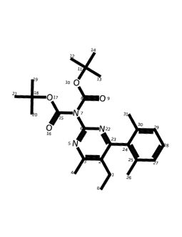 CCc1c(C)nc(N(C(=O)OC(C)(C)C)C(=O)OC(C)(C)C)nc1-c1c(C)cccc1C